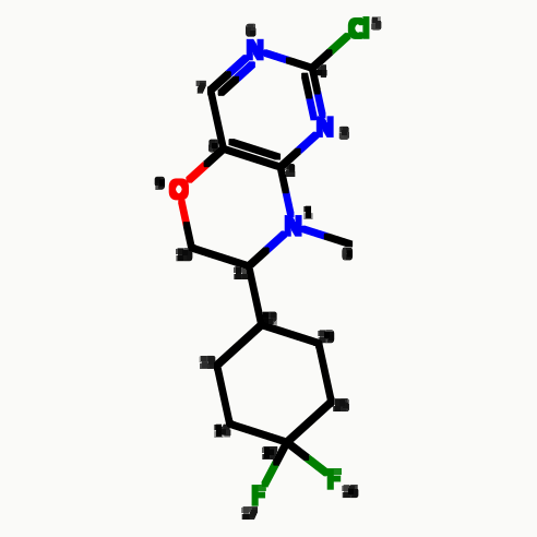 CN1c2nc(Cl)ncc2OCC1C1CCC(F)(F)CC1